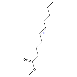 CCCC/C=C/CCCC(=O)OC